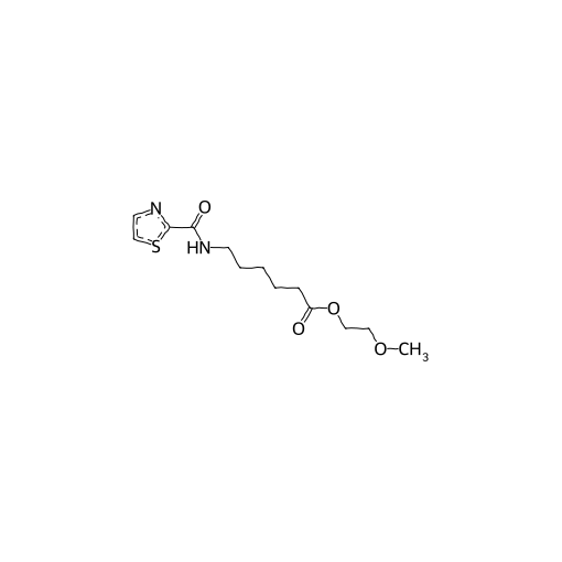 COCCOC(=O)CCCCCNC(=O)c1nccs1